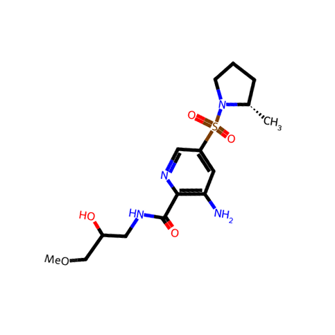 COCC(O)CNC(=O)c1ncc(S(=O)(=O)N2CCC[C@@H]2C)cc1N